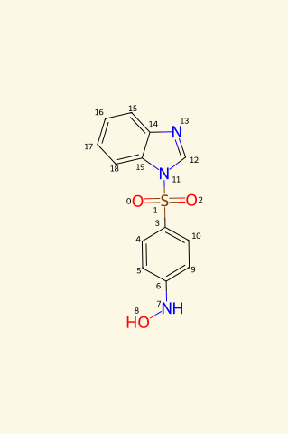 O=S(=O)(c1ccc(NO)cc1)n1cnc2ccccc21